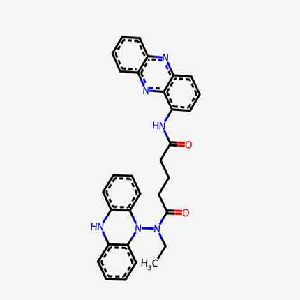 CCN(C(=O)CCCC(=O)Nc1cccc2nc3ccccc3nc12)N1c2ccccc2Nc2ccccc21